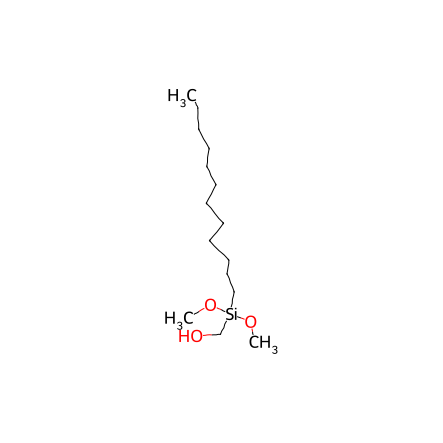 CCCCCCCCCCCC[Si](CO)(OC)OC